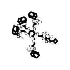 CCC(CC1CCC1)C(C)(C)OC(=O)CO[C@H]1[C@H](OCC(=O)OC2(C)C3CC4CC(C3)CC2C4)[C@@H](OCC(=O)OC2(C)C3CC4CC(C3)CC2C4)[C@@H](OCC(=O)OC2(C)C3CC4CC(C3)CC2C4)O[C@@H]1COCC(=O)OC1(C)C2CC3CC(C2)CC1C3